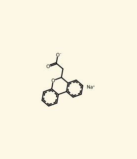 O=C([O-])CC1Oc2ccccc2-c2ccccc21.[Na+]